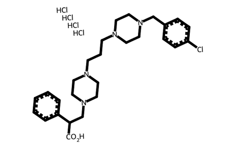 Cl.Cl.Cl.Cl.O=C(O)C(CN1CCN(CCCN2CCN(Cc3ccc(Cl)cc3)CC2)CC1)c1ccccc1